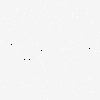 c1ccc(-c2cc(-c3ccccc3)cc(-c3cccc4oc5cc(-c6nc(-c7ccccc7)nc(-c7ccc8ccccc8c7)n6)ccc5c34)c2)cc1